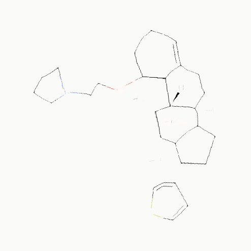 C[C@@]12C(=CCCC1OCCN1CCCC1)CC[C@@H]1[C@@H]2CC[C@]2(C)[C@@H](c3ccsc3)CC[C@]12O